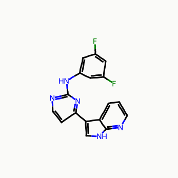 Fc1cc(F)cc(Nc2nccc(-c3c[nH]c4ncccc34)n2)c1